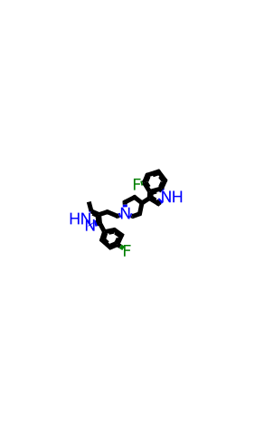 Cc1[nH]nc(-c2ccc(F)cc2)c1CCN1CCC(c2c[nH]c3cccc(F)c23)CC1